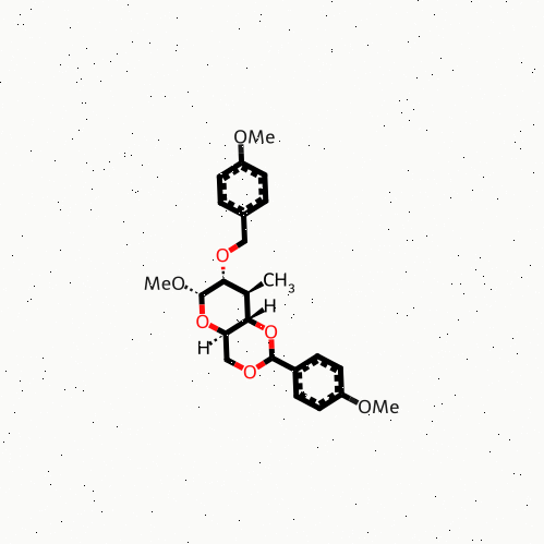 COc1ccc(CO[C@H]2[C@@H](OC)O[C@@H]3COC(c4ccc(OC)cc4)O[C@H]3[C@@H]2C)cc1